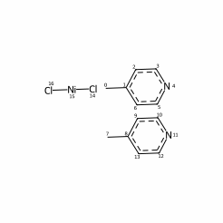 Cc1ccncc1.Cc1ccncc1.[Cl][Ni][Cl]